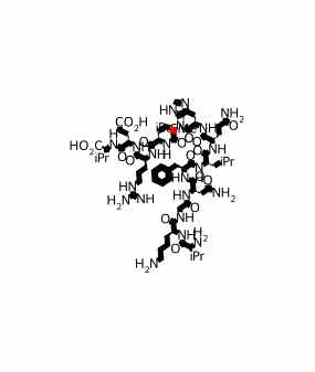 CC[C@H](C)[C@H](NC(=O)[C@H](Cc1c[nH]cn1)NC(=O)[C@H](CCC(N)=O)NC(=O)[C@H](CC(C)C)NC(=O)[C@H](Cc1ccccc1)NC(=O)[C@H](CC(N)=O)NC(=O)CNC(=O)[C@H](CCCCN)NC(=O)[C@@H](N)C(C)C)C(=O)N[C@@H](CCSC)C(=O)N[C@@H](CCCNC(=N)N)C(=O)N[C@@H](CCC(=O)O)C(=O)N[C@H](C(=O)O)C(C)C